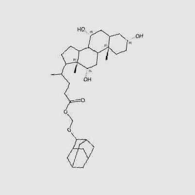 CC(CCC(=O)OCOC1C2CC3CC(C2)CC1C3)C1CCC2C3C(C[C@H](O)[C@]12C)[C@@]1(C)CC[C@@H](O)CC1C[C@H]3O